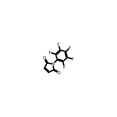 O=C1C=CC(=O)N1c1c(F)c(F)c(F)c(F)c1F